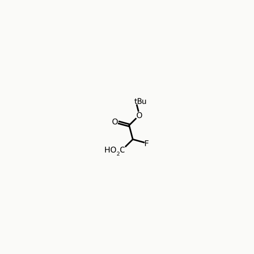 CC(C)(C)OC(=O)C(F)C(=O)O